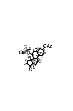 CC(=O)O[C@H]1CC[C@@]2(C)[C@@H](CC(O[Si](C)(C)C(C)(C)C)[C@@H]3[C@@H]2CC[C@]2(C)C(=O)CC[C@@H]32)C1